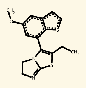 CCC1=C(c2cc(OC)cc3ccsc23)N2CCN=C2S1